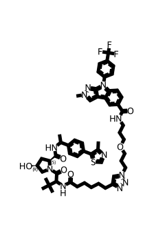 Cc1ncsc1-c1ccc(C(C)NC(=O)[C@@H]2C[C@@H](O)CN2C(=O)C(NC(=O)CCCCCc2cn(CCCOCCCNC(=O)c3ccc4c(c3)c3cn(C)nc3n4-c3ccc(C(F)(F)F)cc3)nn2)C(C)(C)C)cc1